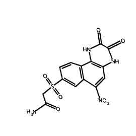 NC(=O)CS(=O)(=O)c1ccc2c(c1)c([N+](=O)[O-])cc1[nH]c(=O)c(=O)[nH]c12